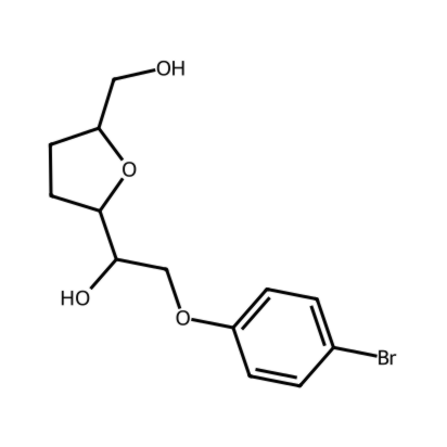 OCC1CCC(C(O)COc2ccc(Br)cc2)O1